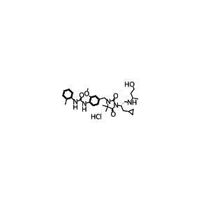 COc1cc(CN2C(=O)N([C@H](CN[C@H](C)CCO)CC3CC3)C(=O)C2(C)C)ccc1NC(=O)Nc1ccccc1C.Cl